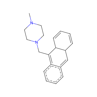 CN1CCN(CC2=c3ccccc3=CC3C=CC=CC23)CC1